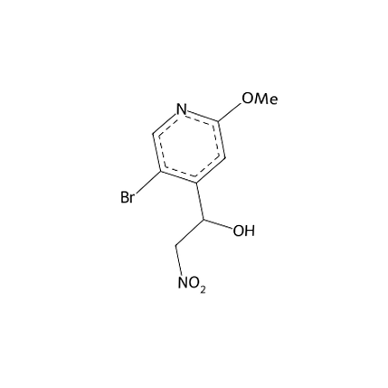 COc1cc(C(O)C[N+](=O)[O-])c(Br)cn1